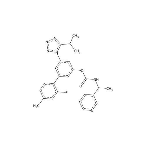 Cc1ccc(-c2cc(OC(=O)NC(C)c3cccnc3)cc(-n3nnnc3C(C)C)c2)c(F)c1